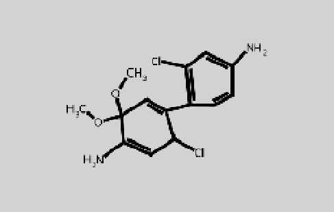 COC1(OC)C=C(c2ccc(N)cc2Cl)C(Cl)C=C1N